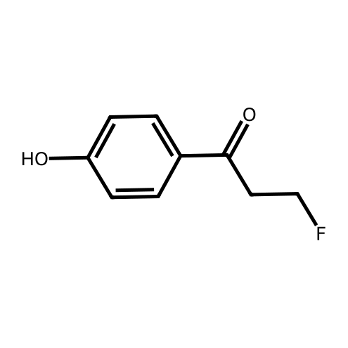 O=C(CCF)c1ccc(O)cc1